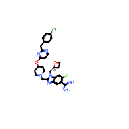 N=C(N)c1cc2nc(CN3CCC(Oc4ccnc(Cc5ccc(Cl)cc5)n4)CC3)n(C[C@@H]3CCO3)c2cc1F